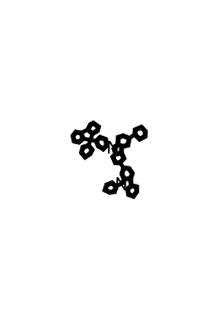 c1ccc(-c2ccc3c(c2)c2cc(-c4ccc5c6ccccc6n(-c6ccccc6)c5c4)ccc2n3-c2ccc(C3(c4ccccc4)c4ccccc4-c4ccccc43)cc2)cc1